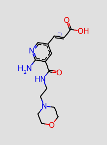 Nc1ncc(/C=C/C(=O)O)cc1C(=O)NCCN1CCOCC1